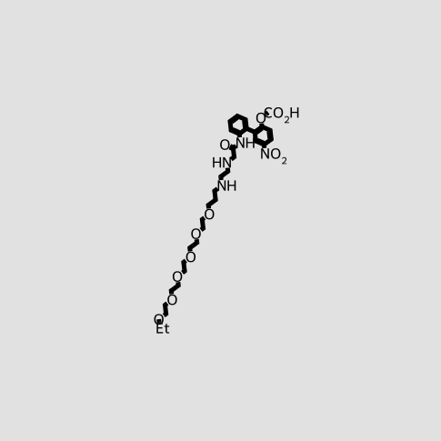 CCOCCOCCOCCOCCOCCOCCCNCCNCC(=O)Nc1ccccc1-c1cc([N+](=O)[O-])ccc1OC(=O)O